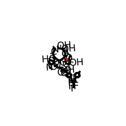 CO[C@]1(C)C[C@H](O[C@H]2[C@H](C)[C@@H](O[C@@H]3O[C@H](C)C[C@H](N(C)C)[C@H]3OC(=O)CCC(=O)NS(=O)(=O)c3ccc(-n4nc(C(F)(F)F)cc4-c4ccc(C)cc4)cc3)[C@](C)(O)C[C@@H](C)CN(C)[C@H](C)[C@@H](O)[C@](C)(O)[C@@H](I)OC(=O)[C@@H]2C)O[C@@H](C)[C@@H]1O